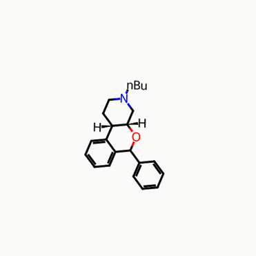 CCCCN1CC[C@H]2c3ccccc3C(c3ccccc3)O[C@H]2C1